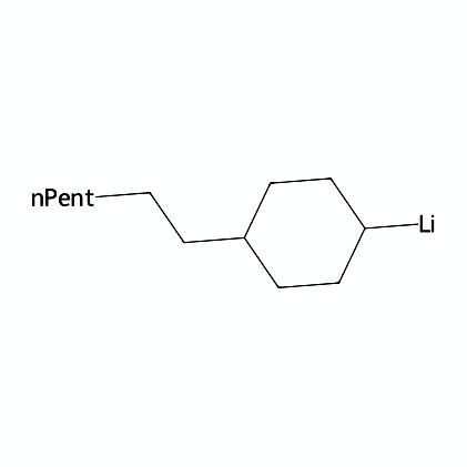 [Li][CH]1CCC(CCCCCCC)CC1